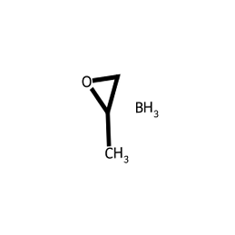 B.CC1CO1